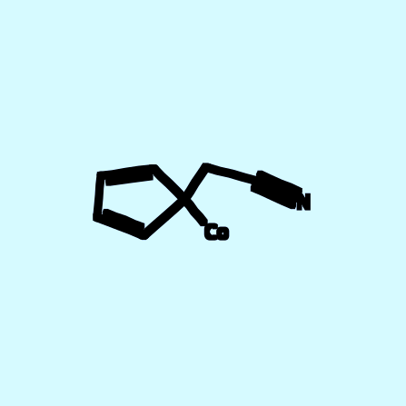 N#CC[C]1([Co])C=CC=C1